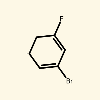 FC1=CC(Br)=C[CH]C1